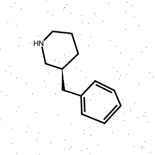 c1ccc(C[C@@H]2CCCNC2)cc1